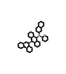 c1ccc(N(c2ccc3ccccc3c2)c2c3ccccc3c(-c3cc4ccccc4c4ccccc34)c3ccccc23)nc1